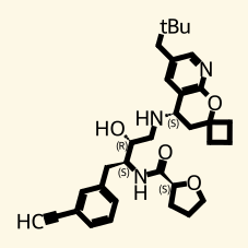 C#Cc1cccc(C[C@H](NC(=O)[C@@H]2CCCO2)[C@H](O)CN[C@H]2CC3(CCC3)Oc3ncc(CC(C)(C)C)cc32)c1